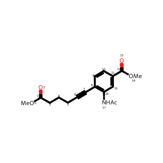 COC(=O)CCCC#Cc1ccc(C(=O)OC)cc1NC(C)=O